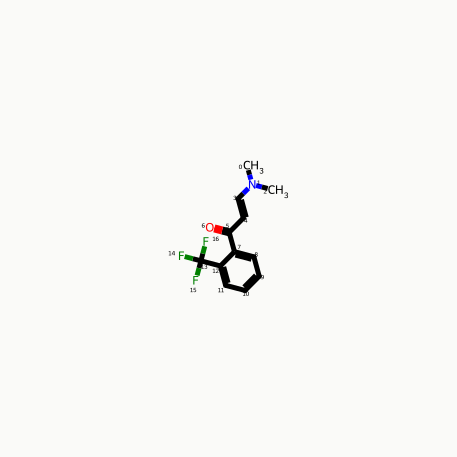 CN(C)C=CC(=O)c1ccccc1C(F)(F)F